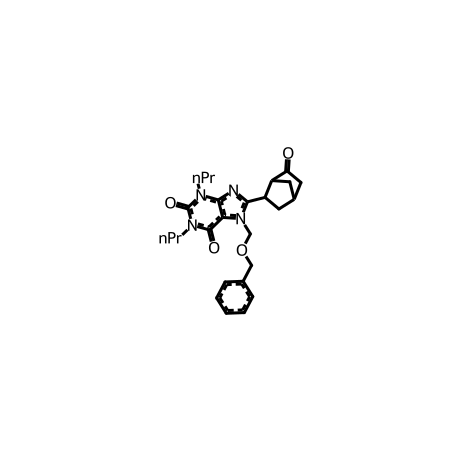 CCCn1c(=O)c2c(nc(C3CC4CC(=O)C3C4)n2COCc2ccccc2)n(CCC)c1=O